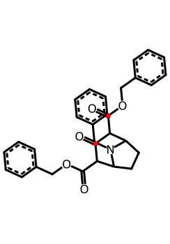 O=C(OCc1ccccc1)C1C(=O)C(C(=O)OCc2ccccc2)C2CCC1N2Cc1ccccc1